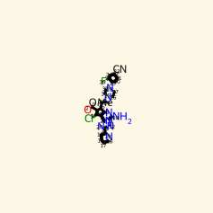 COC(=O)C1=C(Cl)c2c(nc(N)n3nc(-c4ccccn4)nc23)C1CCN1CCN(c2ccc(C#N)cc2F)CC1